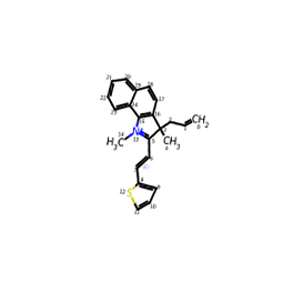 C=CCC1(C)C(/C=C/c2cccs2)=[N+](C)c2c1ccc1ccccc21